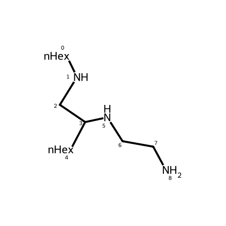 CCCCCCNCC(CCCCCC)NCCN